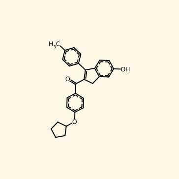 Cc1ccc(C2=C(C(=O)c3ccc(OC4CCCC4)cc3)Cc3cc(O)ccc32)cc1